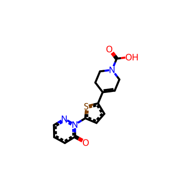 O=C(O)N1CC=C(c2ccc(-n3ncccc3=O)s2)CC1